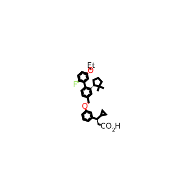 CCOc1ccc(F)c(-c2ccc(COc3cccc([C@H](CC(=O)O)C4CC4)c3)cc2[C@@H]2CCCC2(C)C)c1